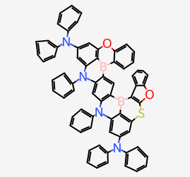 c1ccc(N(c2ccccc2)c2cc3c4c(c2)N(c2ccccc2)c2cc5c(cc2B4c2ccccc2O3)B2c3c(cc(N(c4ccccc4)c4ccccc4)cc3N5c3ccccc3)Sc3oc4ccccc4c32)cc1